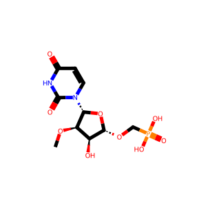 CO[C@@H]1[C@H](O)[C@@H](OCP(=O)(O)O)O[C@H]1n1ccc(=O)[nH]c1=O